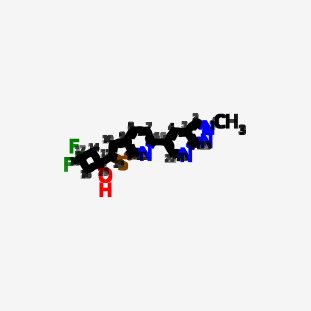 Cn1cc2cc(-c3ccc4cc(C5(O)CC(F)(F)C5)sc4n3)cnc2n1